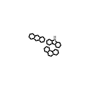 c1ccc2c(c1)[nH]c1ccccc12.c1ccc2c(c1)ccc1ccccc12.c1ccc2cc3ccccc3cc2c1